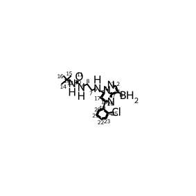 Bc1cnn2c(NCCNC(=O)NC(C)(C)C)cc(-c3ccccc3Cl)nc12